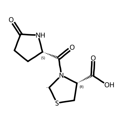 O=C1CC[C@@H](C(=O)N2[CH]SC[C@H]2C(=O)O)N1